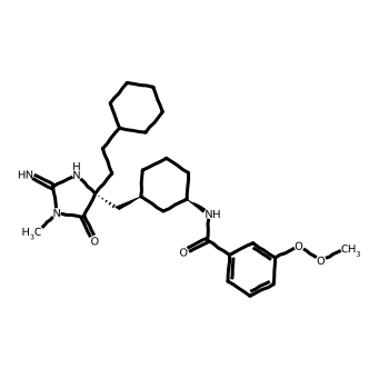 COOc1cccc(C(=O)N[C@@H]2CCC[C@H](C[C@@]3(CCC4CCCCC4)NC(=N)N(C)C3=O)C2)c1